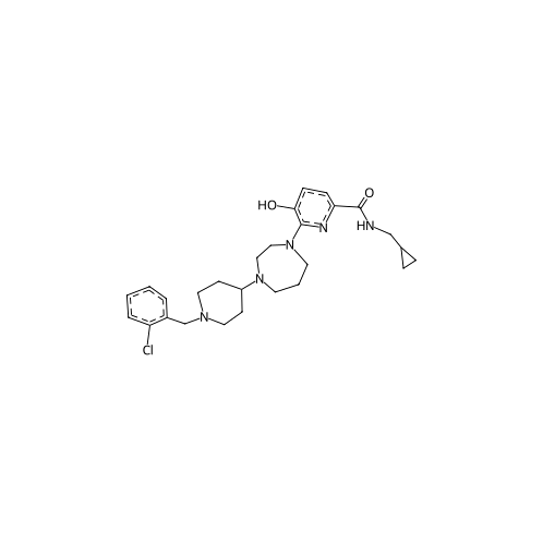 O=C(NCC1CC1)c1ccc(O)c(N2CCCN(C3CCN(Cc4ccccc4Cl)CC3)CC2)n1